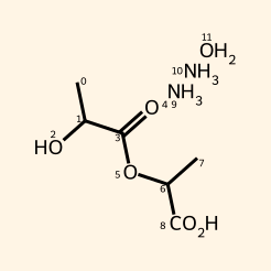 CC(O)C(=O)OC(C)C(=O)O.N.N.O